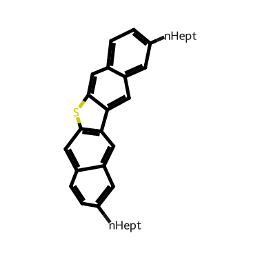 CCCCCCCc1ccc2cc3sc4cc5ccc(CCCCCCC)cc5cc4c3cc2c1